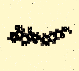 Cc1cc(-c2[nH]c3cc(-c4cnc5c(c4)CN(CC(N)=O)CC5)sc3c2C(C)C)cn2ncnc12